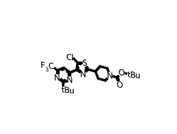 CC(C)(C)OC(=O)N1CCC(c2nc(-c3cc(C(F)(F)F)nc(C(C)(C)C)n3)c(Cl)s2)CC1